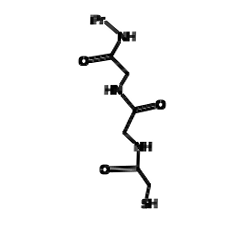 CC(C)NC(=O)CNC(=O)CNC(=O)CS